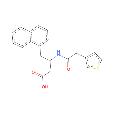 O=C(O)CC(Cc1cccc2ccccc12)NC(=O)Cc1ccsc1